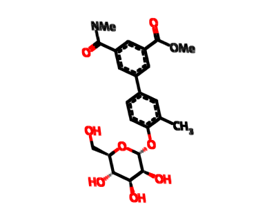 CNC(=O)c1cc(C(=O)OC)cc(-c2ccc(O[C@H]3O[C@H](CO)[C@@H](O)[C@H](O)[C@@H]3O)c(C)c2)c1